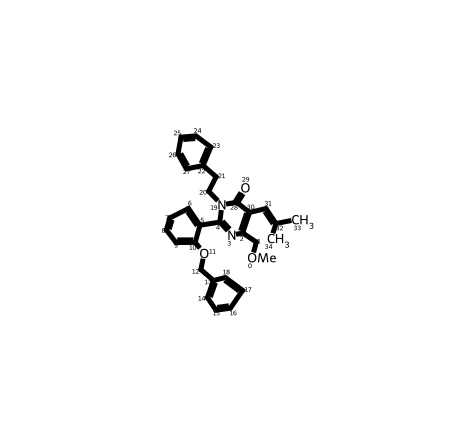 COCc1nc(-c2ccccc2OCc2ccccc2)n(CCc2ccccc2)c(=O)c1C=C(C)C